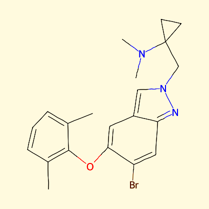 Cc1cccc(C)c1Oc1cc2cn(CC3(N(C)C)CC3)nc2cc1Br